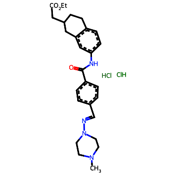 CCOC(=O)CC1CCc2ccc(NC(=O)c3ccc(C=NN4CCN(C)CC4)cc3)cc2C1.Cl.Cl